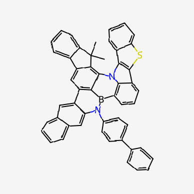 CC1(C)c2ccccc2-c2cc3c4c(c21)-n1c2c(cccc2c2sc5ccccc5c21)B4N(c1ccc(-c2ccccc2)cc1)c1cc2ccccc2cc1-3